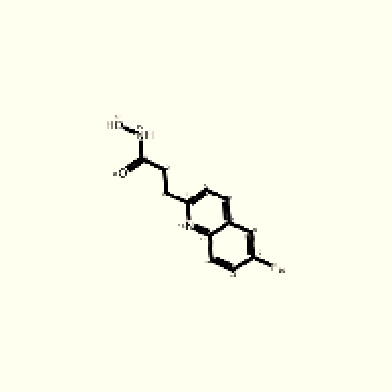 O=C(CCc1ccc2cc(F)ccc2n1)NO